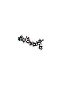 CCS(=O)(=O)NC1CCN(c2ccc(NC(=O)c3ccc(C)c(Oc4nc(-c5ccncc5)nc5c4cnn5C)c3)cc2C(F)(F)F)CC1